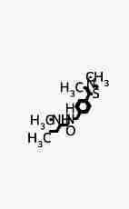 CCCC(NC)C(=O)NCc1ccc(C2=C(C)N(C)CS2)cc1